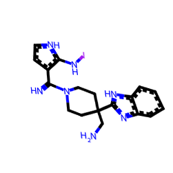 N=C(c1cc[nH]c1NI)N1CCC(CN)(c2nc3ccccc3[nH]2)CC1